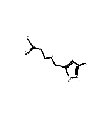 Cc1cc(CCCCC(C)Br)on1